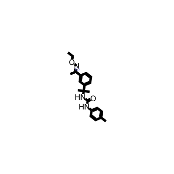 CCO/N=C(\C)c1cccc(C(C)(C)NC(=O)Nc2ccc(C)cc2)c1